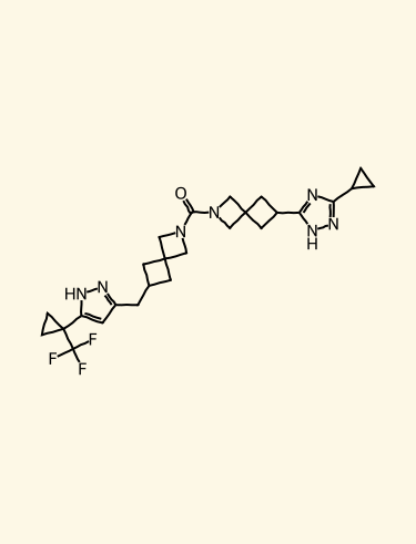 O=C(N1CC2(CC(Cc3cc(C4(C(F)(F)F)CC4)[nH]n3)C2)C1)N1CC2(CC(c3nc(C4CC4)n[nH]3)C2)C1